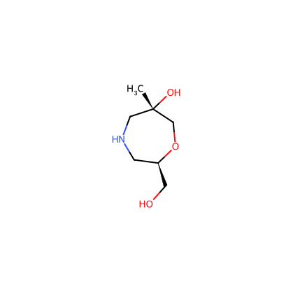 C[C@]1(O)CNC[C@H](CO)OC1